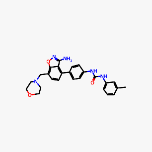 Cc1cccc(NC(=O)Nc2ccc(-c3ccc(CN4CCOCC4)c4onc(N)c34)cc2)c1